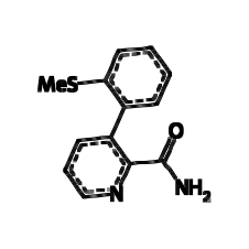 CSc1ccccc1-c1cccnc1C(N)=O